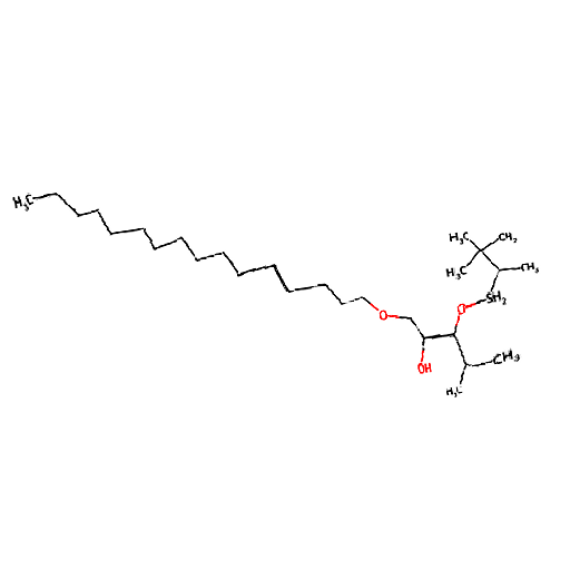 CCCCCCCCCCCCCCCCOCC(O)C(O[SiH2]C(C)C(C)(C)C)C(C)C